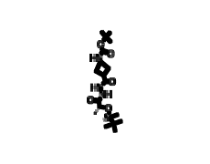 C[C@@H](O[Si](C)(C)C(C)(C)C)C(=O)NNC(=O)C1CC(NC(=O)OC(C)(C)C)C1